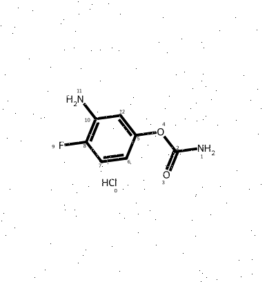 Cl.NC(=O)Oc1ccc(F)c(N)c1